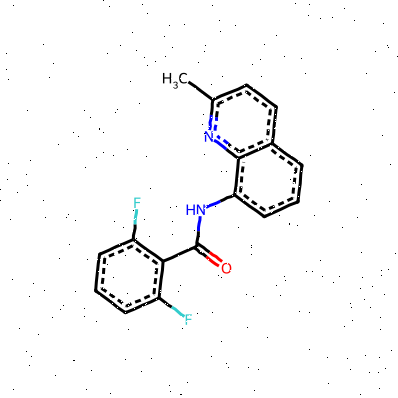 Cc1ccc2cccc(NC(=O)c3c(F)cccc3F)c2n1